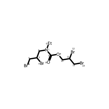 CCN(CC(Br)CBr)C(=O)OCC(Br)CBr